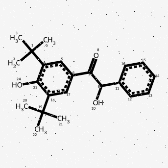 CC(C)(C)c1cc(C(=O)C(O)c2ccccc2)cc(C(C)(C)C)c1O